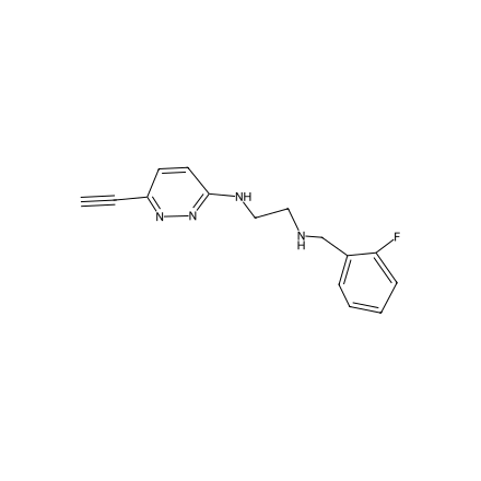 C#Cc1ccc(NCCNCc2ccccc2F)nn1